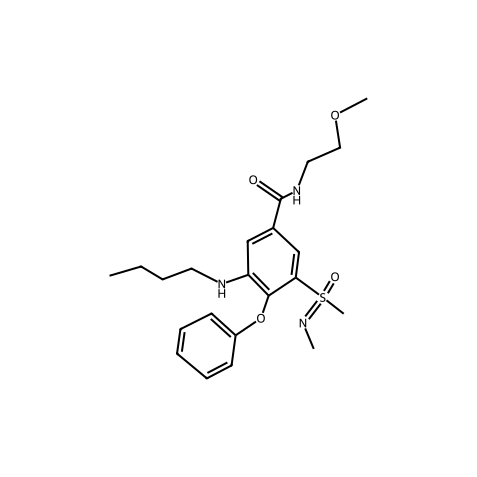 CCCCNc1cc(C(=O)NCCOC)cc(S(C)(=O)=NC)c1Oc1ccccc1